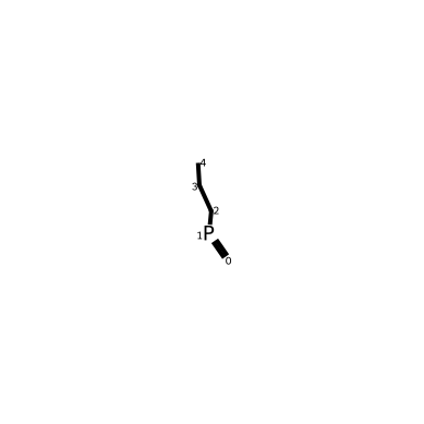 C=PCCC